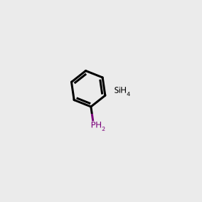 Pc1ccccc1.[SiH4]